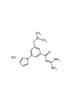 CN(C)Cc1cc(C(=O)N=C(N)N)cc(-n2cccc2)c1.Cl